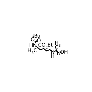 CCOC(=O)C(C)(CCCCN/C(C)=N/O)NC(=O)OC(C)(C)C